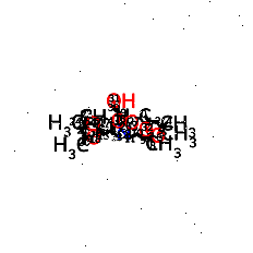 CC1CC(C)(C)OC(C)(CCCN(CCC[Si]2(C)OC(C)CC(C)(C)O2)C(=O)OCCO)O1